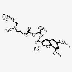 Cc1cc(C)c2c(c1)C=C(C(=O)OC(C)OC(=O)OCCN(C)CCO[N+](=O)[O-])[C@@H](C(F)(F)F)O2